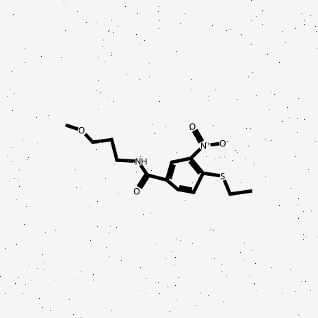 CCSc1ccc(C(=O)NCCCOC)cc1[N+](=O)[O-]